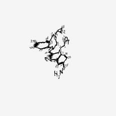 CC(C)CCn1c(CN2CN(C3CC3)Cc3ccccc32)nc2cc(CN)ccc21